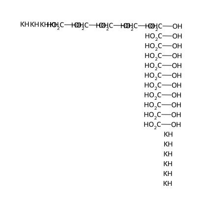 O=C(O)O.O=C(O)O.O=C(O)O.O=C(O)O.O=C(O)O.O=C(O)O.O=C(O)O.O=C(O)O.O=C(O)O.O=C(O)O.O=C(O)O.O=C(O)O.O=C(O)O.O=C(O)O.O=C(O)O.[KH].[KH].[KH].[KH].[KH].[KH].[KH].[KH].[KH].[KH]